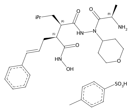 CC(C)C[C@@H](C(=O)NN(C(=O)[C@@H](C)N)C1CCOCC1)[C@H](CC=Cc1ccccc1)C(=O)NO.Cc1ccc(S(=O)(=O)O)cc1